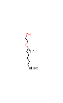 CCCCCCCCCCCCOCCO.[3H+]